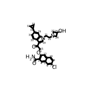 NC(=O)c1cc2cc(Cl)ccc2cc1OCC(=O)c1cn(CCN2CC(O)C2)c2cc(C3CC3)ccc12